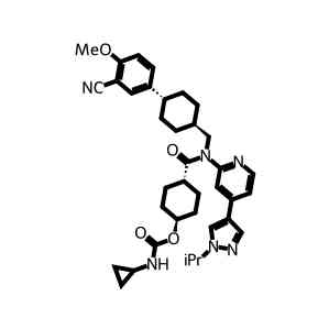 COc1ccc([C@H]2CC[C@H](CN(c3cc(-c4cnn(C(C)C)c4)ccn3)C(=O)[C@H]3CC[C@H](OC(=O)NC4CC4)CC3)CC2)cc1C#N